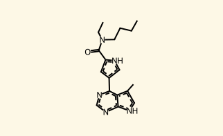 CCCCN(CC)C(=O)c1cc(-c2ncnc3[nH]cc(C)c23)c[nH]1